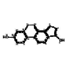 OC1=CC=c2c1ccc1c2=CCc2cc(O)ccc2-1